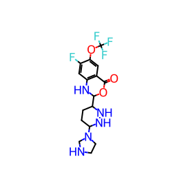 O=C1OC(C2CCC(N3CCNC3)NN2)Nc2cc(F)c(OC(F)(F)F)cc21